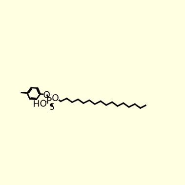 CCCCCCCCCCCCCCCCOP(O)(=S)Oc1ccc(C)cc1